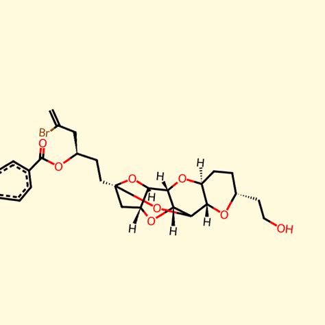 C=C(Br)C[C@@H](CC[C@@]12C[C@H]3O[C@H]4C(O1)[C@H]1O[C@@H](CCO)CC[C@@H]1O[C@H]4[C@H]3O2)OC(=O)c1ccccc1